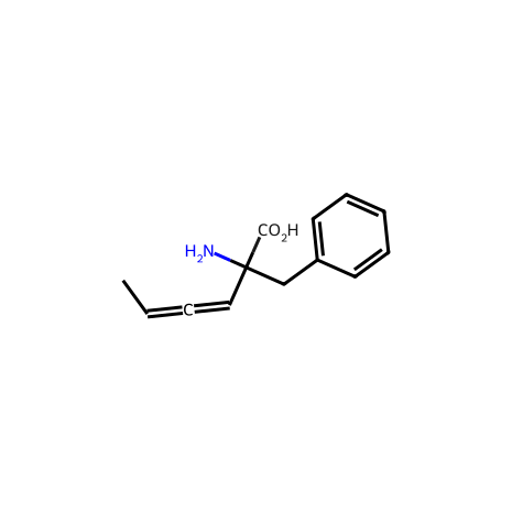 CC=C=CC(N)(Cc1ccccc1)C(=O)O